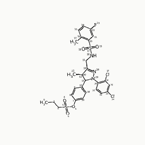 CCCS(=O)(=O)Oc1ccc(C2[C@@H](C)C(CNS(=O)(=O)c3cc(F)ccc3C)=NN2c2ccc(Cl)cc2Cl)cc1